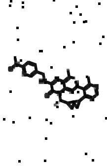 C=C(/N=C1\C(=C(C)C)N=C(NCc2ccc([S+](C)[O-])nc2)C(=O)N1[C@@H](C)C1CC1)c1c(C)ncnc1C1CC1